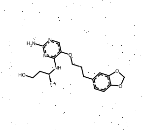 CCC[C@@H](CCO)Nc1nc(N)ncc1OCCCc1ccc2c(c1)OCO2